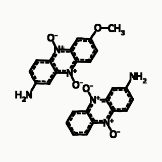 COc1ccc2c(c1)[n+]([O-])c1ccc(N)cc1[n+]2[O-].Nc1ccc2c(c1)[n+]([O-])c1ccccc1[n+]2[O-]